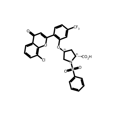 O=C(O)[C@H]1C[C@H](Oc2cc(C(F)(F)F)ccc2-c2cc(=O)c3cccc(Cl)c3o2)CN1S(=O)(=O)c1ccccc1